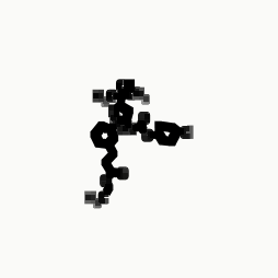 CCOC(=O)CCc1cccc(-n2nc(C(C)(C)C)cc2NC(=O)Oc2ccc(Cl)cc2)c1